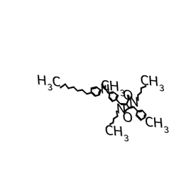 CCCCCCCCc1ccc(N(C)c2ccc(C3=C4C(=O)N(CCCCCC)C(c5ccc(C)cc5)=C4C(=O)N3CCCCCC)cc2)cc1